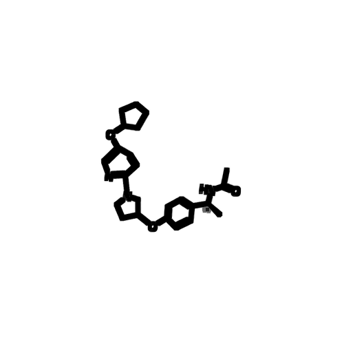 CC(=O)N[C@@H](C)c1ccc(OC2CCN(c3ccc(OC4CCCC4)cn3)C2)cc1